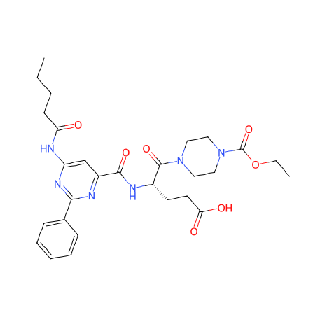 CCCCC(=O)Nc1cc(C(=O)N[C@@H](CCC(=O)O)C(=O)N2CCN(C(=O)OCC)CC2)nc(-c2ccccc2)n1